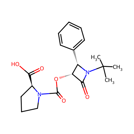 CC(C)(C)N1C(=O)[C@H](OC(=O)N2CCC[C@H]2C(=O)O)[C@@H]1c1ccccc1